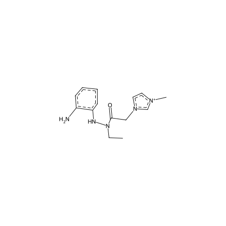 CCN(Nc1ccccc1N)C(=O)Cn1cc[n+](C)c1